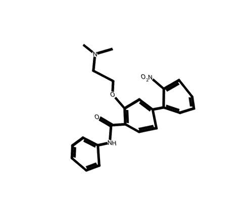 CN(C)CCOc1cc(-c2ccccc2[N+](=O)[O-])ccc1C(=O)Nc1ccccc1